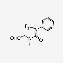 CN(C[C]=O)C(=O)N(c1ccccc1)C(F)(F)F